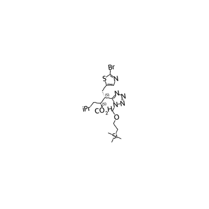 CC(C)C[C@H](C(=O)O)[C@H](Cc1cnc(Br)s1)c1nnnn1COCC[Si](C)(C)C